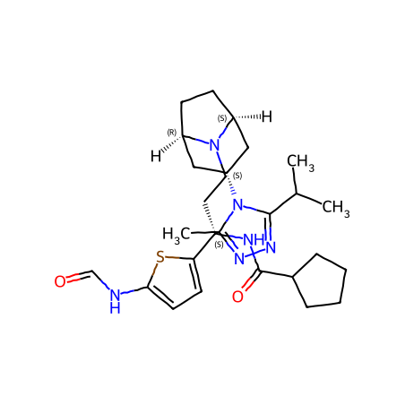 Cc1nnc(C(C)C)n1[C@@H]1C[C@H]2CC[C@@H](C1)N2CC[C@H](NC(=O)C1CCCC1)c1ccc(NC=O)s1